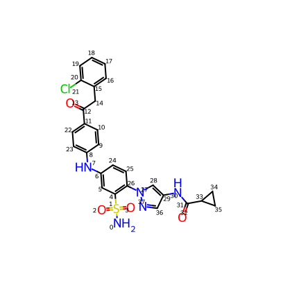 NS(=O)(=O)c1cc(Nc2ccc(C(=O)Cc3ccccc3Cl)cc2)ccc1-n1cc(NC(=O)C2CC2)cn1